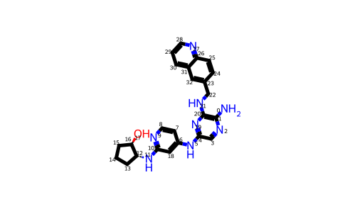 Nc1ncc(Nc2ccnc(N[C@@H]3CCC[C@H]3O)c2)nc1NCc1ccc2ncccc2c1